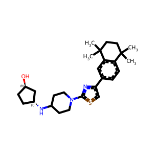 CC1(C)CCC(C)(C)c2cc(-c3csc(N4CCC(N[C@@H]5CC[C@@H](O)C5)CC4)n3)ccc21